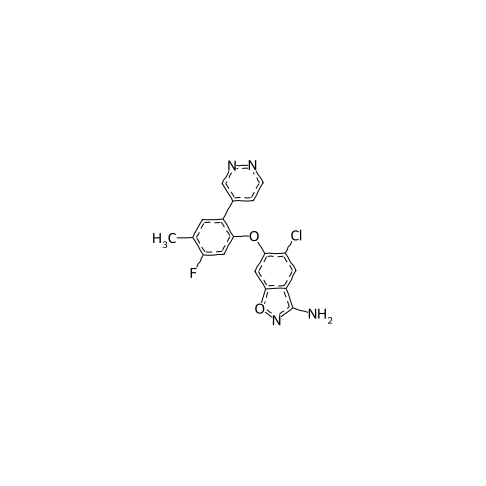 Cc1cc(-c2ccnnc2)c(Oc2cc3onc(N)c3cc2Cl)cc1F